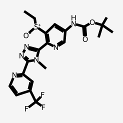 CC[S+]([O-])c1cc(NC(=O)OC(C)(C)C)cnc1-c1nnc(-c2cc(C(F)(F)F)ccn2)n1C